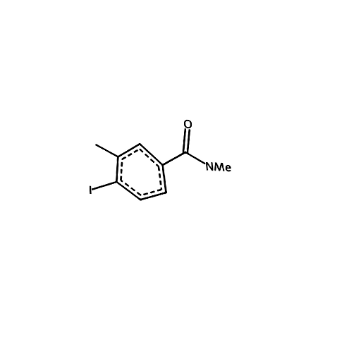 CNC(=O)c1ccc(I)c(C)c1